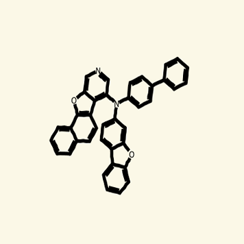 c1ccc(-c2ccc(N(c3ccc4c(c3)oc3ccccc34)c3cncc4oc5c6ccccc6ccc5c34)cc2)cc1